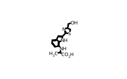 CC(Nc1cccc2cc(C3=NC(CO)CS3)[nH]c12)C(=O)O